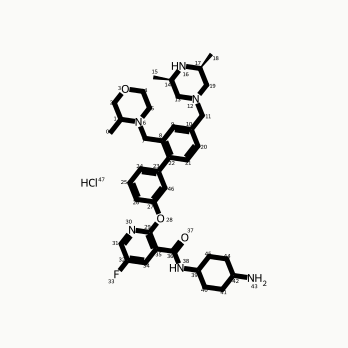 CC1COCCN1Cc1cc(CN2C[C@@H](C)N[C@@H](C)C2)ccc1-c1cccc(Oc2ncc(F)cc2C(=O)NC2CCC(N)CC2)c1.Cl